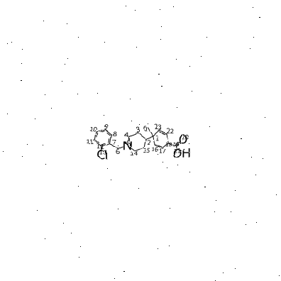 CC1(C2CCN(Cc3ccccc3Cl)CC2)C=CC(C(=O)O)C=C1